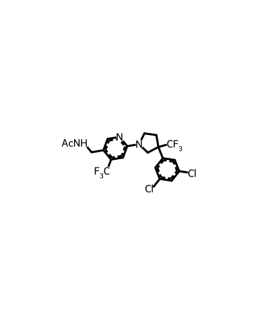 CC(=O)NCc1cnc(N2CCC(c3cc(Cl)cc(Cl)c3)(C(F)(F)F)C2)cc1C(F)(F)F